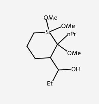 CCCC1(OC)C(C(O)CC)CCC[Si]1(OC)OC